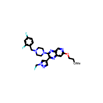 COCCOc1cc2nc(-c3cnn(CF)c3)c(N3CCN(Cc4ccc(F)cc4F)CC3)nc2cn1